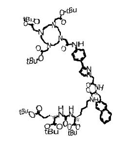 CC(C)(C)OC(=O)CC[C@H](NC(=O)N[C@@H](CCCCNC(=O)[C@H](Cc1ccc2ccccc2c1)NC(=O)Cn1ccc(-c2ccc(NC(=O)CN3CCN(CC(=O)OC(C)(C)C)CCN(CC(=O)OC(C)(C)C)CCN(CC(=O)OC(C)(C)C)CC3)cc2)n1)C(=O)OC(C)(C)C)C(=O)OC(C)(C)C